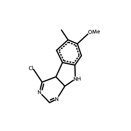 COc1cc2c(cc1C)C1C(Cl)=NC=NC1N2